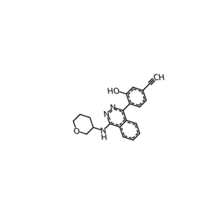 C#Cc1ccc(-c2nnc(NC3CCCOC3)c3ccccc23)c(O)c1